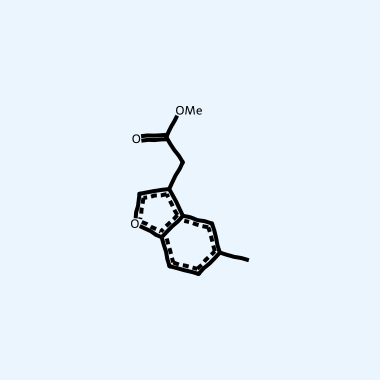 COC(=O)Cc1coc2ccc(C)cc12